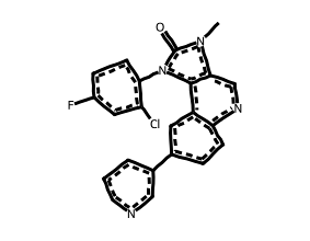 Cn1c(=O)n(-c2ccc(F)cc2Cl)c2c3cc(-c4cccnc4)ccc3ncc21